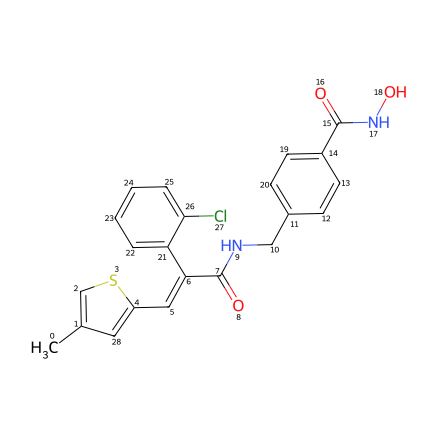 Cc1csc(C=C(C(=O)NCc2ccc(C(=O)NO)cc2)c2ccccc2Cl)c1